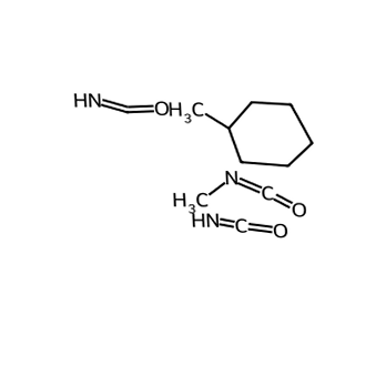 CC1CCCCC1.CN=C=O.N=C=O.N=C=O